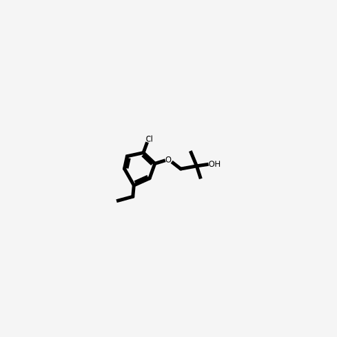 CCc1ccc(Cl)c(OCC(C)(C)O)c1